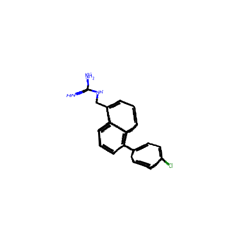 N=C(N)NCc1cccc2c(-c3ccc(Cl)cc3)cccc12